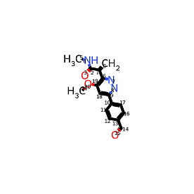 C=C(C(=O)NC)c1nnc(-c2ccc(C=O)cc2)cc1OC